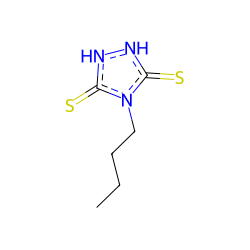 CCCCn1c(=S)[nH][nH]c1=S